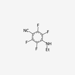 CCNc1c(F)c(F)c(C#N)c(F)c1F